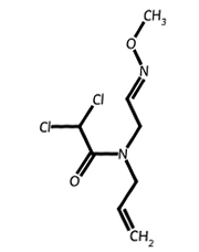 C=CCN(CC=NOC)C(=O)C(Cl)Cl